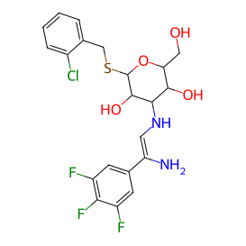 N/C(=C\NC1C(O)C(CO)OC(SCc2ccccc2Cl)C1O)c1cc(F)c(F)c(F)c1